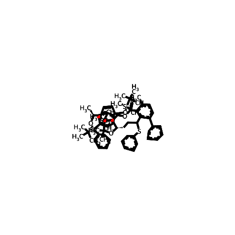 Cc1ccc(-c2ccccc2)c(C(CC[C@@H]2OC(C)(C)O[C@@H]2C(/C=C\[C@@H](C)[C@H](C)O[Si](c2ccccc2)(c2ccccc2)C(C)(C)C)O[Si](C)(C)C(C)(C)C)Sc2ccccc2)c1C(=O)OCC[Si](C)(C)C